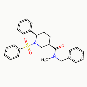 CN(Cc1ccccc1)C(=O)[C@@H]1CC[C@H](c2ccccc2)N(S(=O)(=O)c2ccccc2)C1